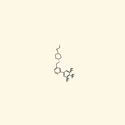 CCC[C@H]1CC[C@H](CCc2cc[c]c(-c3cc(F)c(F)c(F)c3)c2)CC1